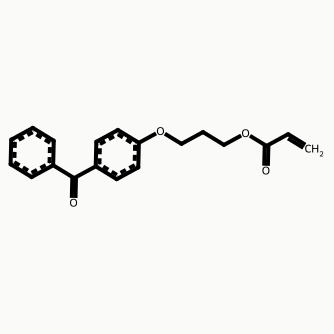 C=CC(=O)OCCCOc1ccc(C(=O)c2ccccc2)cc1